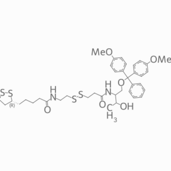 COc1ccc(C(OCC(NC(=O)CCSSCCNC(=O)CCCC[C@@H]2CCSS2)C(C)O)(c2ccccc2)c2ccc(OC)cc2)cc1